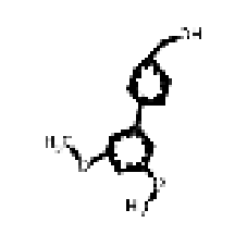 COc1cc(OC)cc(-c2ccc(CO)cc2)c1